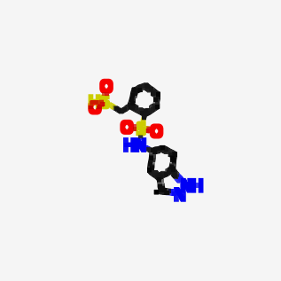 O=[SH](=O)Cc1ccccc1S(=O)(=O)Nc1ccc2[nH]n[c]c2c1